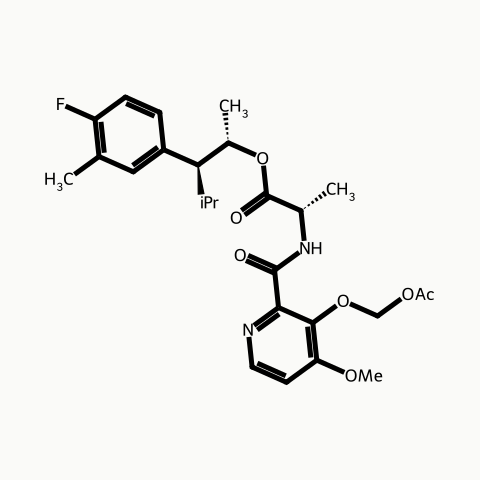 COc1ccnc(C(=O)N[C@@H](C)C(=O)O[C@@H](C)[C@H](c2ccc(F)c(C)c2)C(C)C)c1OCOC(C)=O